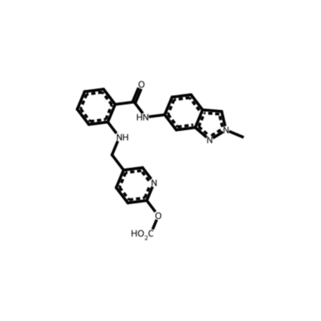 Cn1cc2ccc(NC(=O)c3ccccc3NCc3ccc(OC(=O)O)nc3)cc2n1